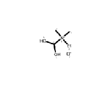 CC[N+](C)(C)C(O)O.[Cl-]